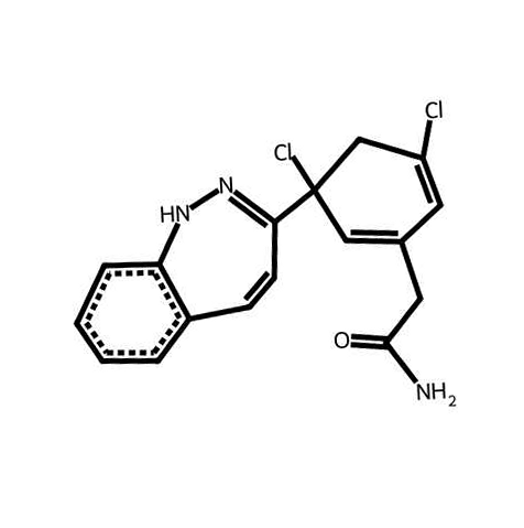 NC(=O)CC1=CC(Cl)(C2=NNc3ccccc3C=C2)CC(Cl)=C1